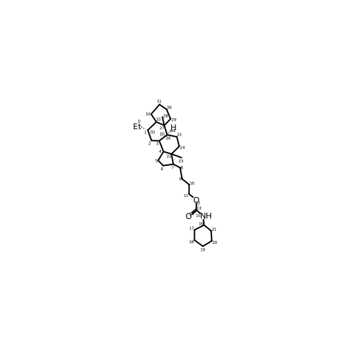 CC[C@H]1CC2C3CCC(CCCCOC(=O)NC4CCCCC4)C3(C)CC[C@@H]2C2(C)CCCCC12